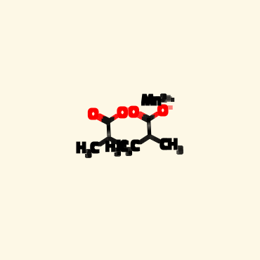 CC(C)C(=O)[O-].CC(C)C(=O)[O-].[Mn+2]